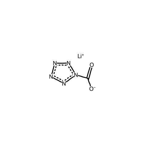 O=C([O-])n1nnnn1.[Li+]